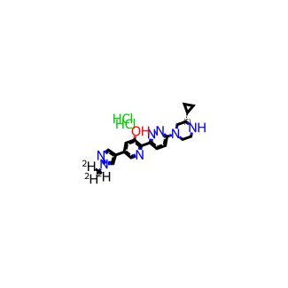 Cl.Cl.[2H]C([2H])([2H])n1cc(-c2cnc(-c3ccc(N4CCN[C@@H](C5CC5)C4)nn3)c(O)c2)cn1